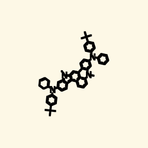 CN1c2cc(N(c3ccccc3)c3ccc(C(C)(C)C)cc3)ccc2-c2cc3c(c4cccc1c24)c1ccc(N(C2=CC=CCC2)c2ccc(C(C)(C)C)cc2)cc1n3C